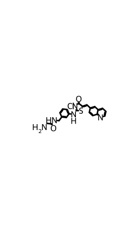 NCC(=O)NCc1ccc(Cl)c(NC2=NC(=O)/C(=C/c3ccc4ncccc4c3)S2)c1